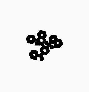 O=C(NC(c1ccccc1)c1ccccc1)C1CN(C(=O)c2ccccn2)CCN1S(=O)(=O)c1cccc2cccnc12